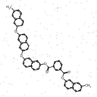 Cc1ccc2ccc(OC(=O)c3cccc(C(=O)Oc4ccc5ccc(Oc6ccc7ccc(Oc8ccc9ccc(C)cc9c8)cc7c6)cc5c4)c3)cc2c1